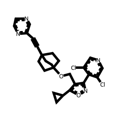 Clc1cncc(Cl)c1-c1noc(C2CC2)c1COC12CCC(C#Cc3cnccn3)(CC1)CC2